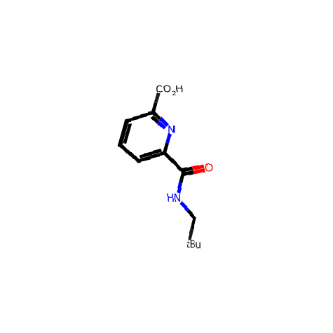 CC(C)(C)CNC(=O)c1cccc(C(=O)O)n1